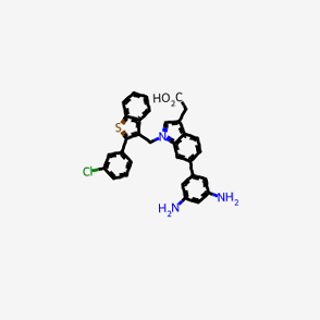 Nc1cc(N)cc(-c2ccc3c(CC(=O)O)cn(Cc4c(-c5cccc(Cl)c5)sc5ccccc45)c3c2)c1